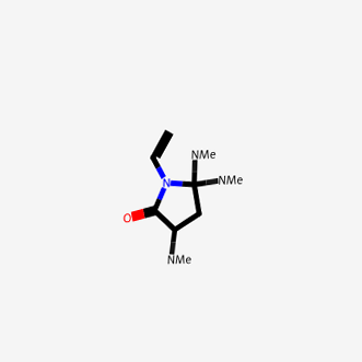 C=CN1C(=O)C(NC)CC1(NC)NC